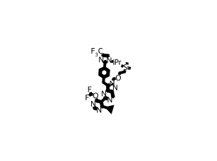 CC(C)n1cc(C(F)(F)F)nc1-c1ccc(Cc2c3nc(-c4c(OC(F)F)ncnc4C4CC4)ncc3nn2COCC[Si](C)(C)C)cc1